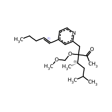 CCC/C=C/c1ccnc(CC(OCOC)(C(C)=O)[C@@H](C)CC(C)C)c1